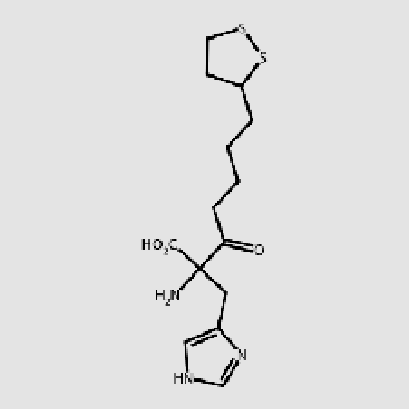 NC(Cc1c[nH]cn1)(C(=O)O)C(=O)CCCCC1CCSS1